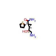 NC[C@@H](O)[C@@H]1C[C@@]1(C(N)=O)c1cccs1